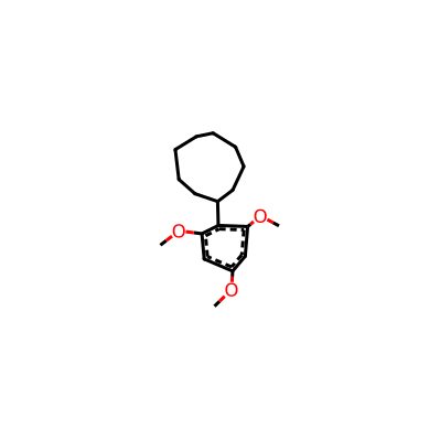 COc1cc(OC)c(C2CCCCCCCC2)c(OC)c1